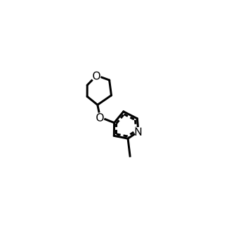 Cc1cc(OC2CCOCC2)ccn1